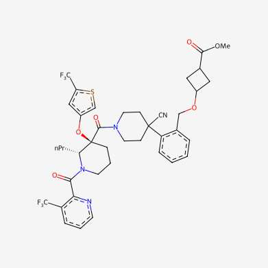 CCC[C@H]1N(C(=O)c2ncccc2C(F)(F)F)CCC[C@@]1(Oc1csc(C(F)(F)F)c1)C(=O)N1CCC(C#N)(c2ccccc2COC2CC(C(=O)OC)C2)CC1